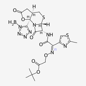 Bn1nnnc1[C@]12OC(=O)C[C@H]1CS[C@@H]1[C@H](NC(=O)/C(=N\OCC(=O)OC(C)(C)C)c3csc(C)n3)C(=O)N12